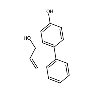 C=CCO.Oc1ccc(-c2ccccc2)cc1